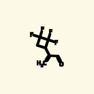 C=C(C=O)C1CC(F)(F)C1(F)F